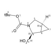 CC(C)(C)OC(=O)N1C[C@H]2CC2[C@H]1C(=O)O